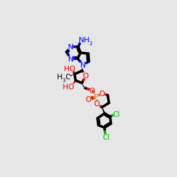 C[C@@]1(O)[C@H](O)[C@@H](CO[P@@]2(=O)OCC[C@@H](c3ccc(Cl)cc3Cl)O2)O[C@H]1n1ccc2c(N)ncnc21